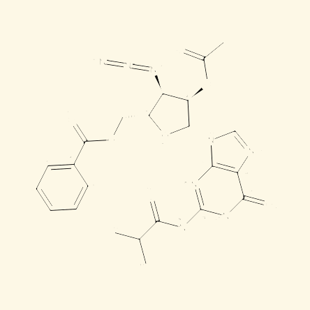 CC(=O)O[C@@H]1[C@H](N=[N+]=[N-])[C@@H](COC(=O)c2ccccc2)O[C@H]1n1cnc2c(=O)[nH]c(NC(=O)C(C)C)nc21